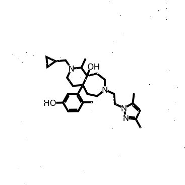 Cc1cc(C)n(CCN2CCC3(c4cc(O)ccc4C)CCN(CC4CC4)C(C)C3(O)CC2)n1